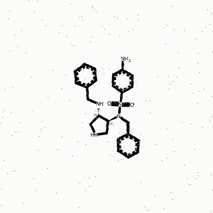 Nc1ccc(S(=O)(=O)N(Cc2ccccc2)[C@H]2CNC[C@@H]2NCc2ccccc2)cc1